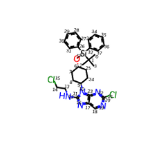 CC(C)(C)[Si](O[C@H]1CC[C@H](n2c(NCCCl)nc3cnc(Cl)nc32)CC1)(c1ccccc1)c1ccccc1